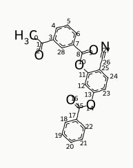 CC(=O)c1cccc(C(=O)Oc2cc(OC(=O)c3ccccc3)ccc2C#N)c1